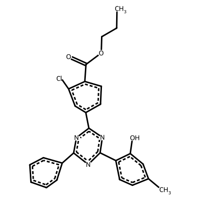 CCCOC(=O)c1ccc(-c2nc(-c3ccccc3)nc(-c3ccc(C)cc3O)n2)cc1Cl